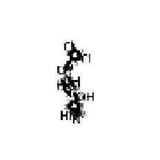 O=C(OCc1cc(Cl)cc(Cl)c1)N1C[C@@H]2CCN(C(O)c3ccc4[nH]nnc4c3)C[C@@H]2C1